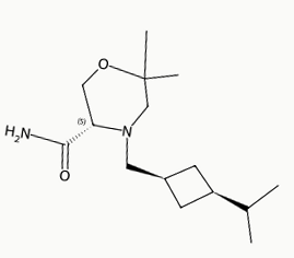 CC(C)[C@H]1C[C@@H](CN2CC(C)(C)OC[C@H]2C(N)=O)C1